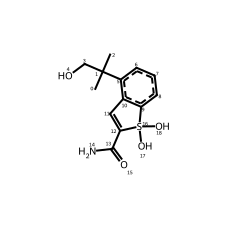 CC(C)(CO)c1cccc2c1C=C(C(N)=O)S2(O)O